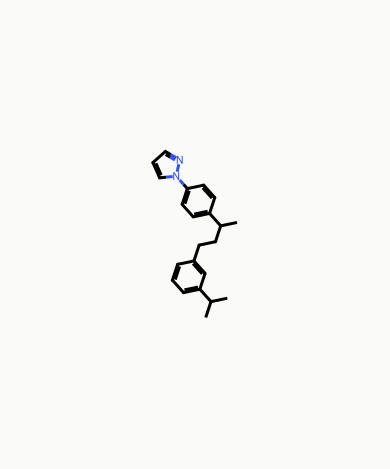 CC(C)c1cccc(CCC(C)c2ccc(-n3cccn3)cc2)c1